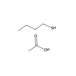 CC(=O)O.CCCCS